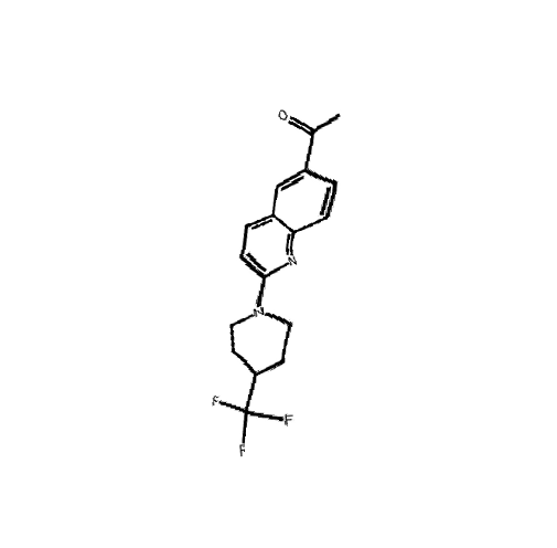 CC(=O)c1ccc2nc(N3CCC(C(F)(F)F)CC3)ccc2c1